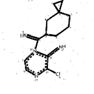 N=C(C1CCCC2(CC2)C1)n1ccnc(Cl)c1=N